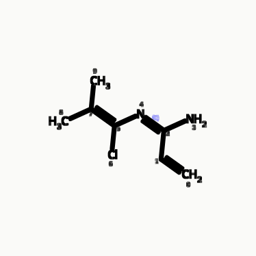 C=C/C(N)=N\C(Cl)=C(C)C